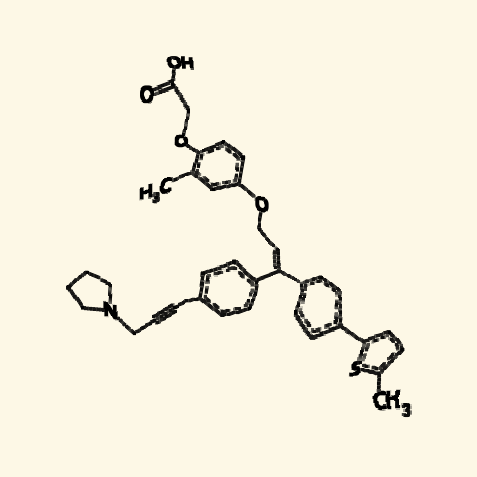 Cc1ccc(-c2ccc(C(=CCOc3ccc(OCC(=O)O)c(C)c3)c3ccc(C#CCN4CCCC4)cc3)cc2)s1